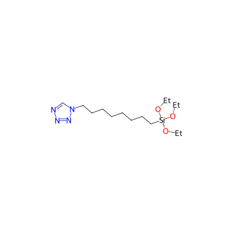 CCO[Si](CCCCCCCCn1cnnn1)(OCC)OCC